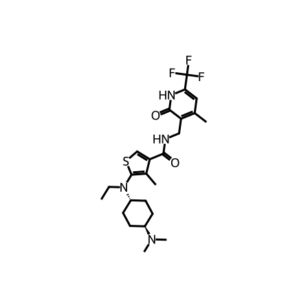 CCN(c1scc(C(=O)NCc2c(C)cc(C(F)(F)F)[nH]c2=O)c1C)[C@H]1CC[C@H](N(C)C)CC1